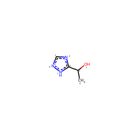 CC(O)c1ncn[nH]1